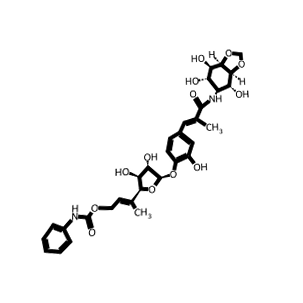 C/C(=C\c1ccc(O[C@H]2O[C@@H](/C(C)=C/COC(=O)Nc3ccccc3)[C@@H](O)[C@@H]2O)c(O)c1)C(=O)N[C@@H]1[C@H](O)[C@@H](O)[C@H]2OCO[C@H]2[C@@H]1O